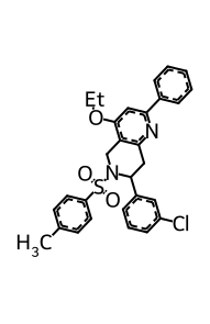 CCOc1cc(-c2ccccc2)nc2c1CN(S(=O)(=O)c1ccc(C)cc1)C(c1cccc(Cl)c1)C2